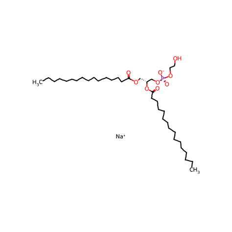 CCCCCCCCCCCCCCCC(=O)OC[C@H](COP(=O)([O-])OCCO)OC(=O)CCCCCCCCCCCCCCC.[Na+]